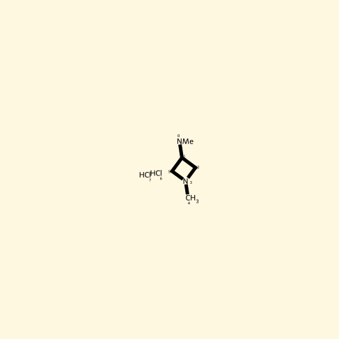 CNC1CN(C)C1.Cl.Cl